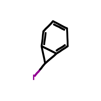 IC1c2ccccc21